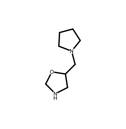 C1CCN(CC2CNCO2)C1